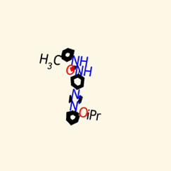 Cc1cccc(NC(=O)N[C@H]2CC[C@@H](N3CCN(c4ccccc4OC(C)C)CC3)CC2)c1